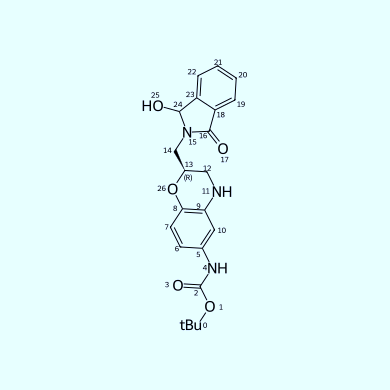 CC(C)(C)OC(=O)Nc1ccc2c(c1)NC[C@H](CN1C(=O)c3ccccc3C1O)O2